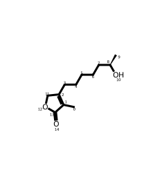 CC1=C(CCCCC[C@@H](C)O)COC1=O